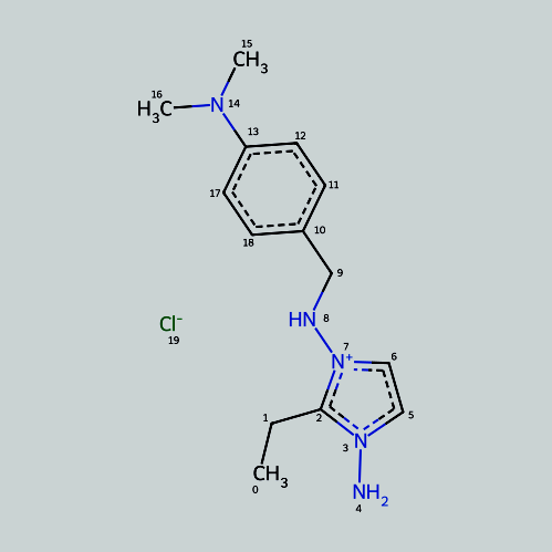 CCc1n(N)cc[n+]1NCc1ccc(N(C)C)cc1.[Cl-]